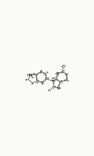 Cc1nc2ccc(Cl)nc2n1-c1ccc2c(c1)CCN2